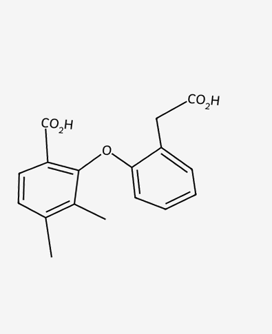 Cc1ccc(C(=O)O)c(Oc2ccccc2CC(=O)O)c1C